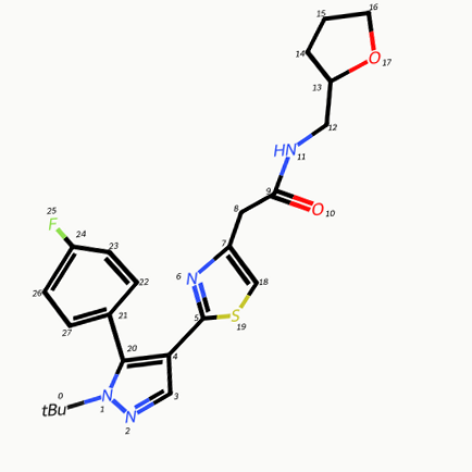 CC(C)(C)n1ncc(-c2nc(CC(=O)NCC3CCCO3)cs2)c1-c1ccc(F)cc1